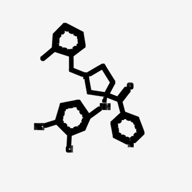 Cc1ccccc1CN1CC[C@@](Nc2ccc(C#N)c(Cl)c2)(C(=O)c2ccncc2)C1